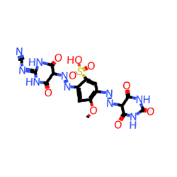 COc1cc(N=NC2C(=O)NC(=NC#N)NC2=O)c(S(=O)(=O)O)cc1N=NC1C(=O)NC(=O)NC1=O